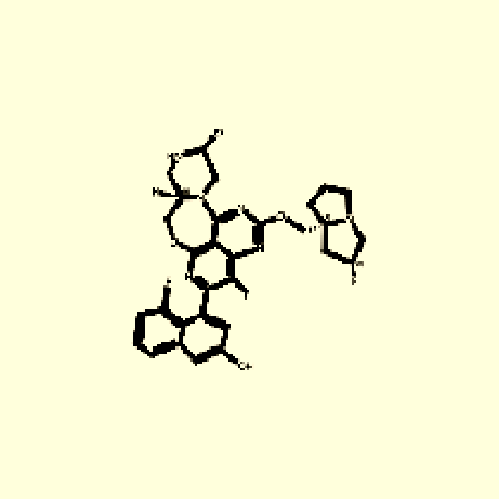 CCC1CN2c3nc(OC[C@]45CCCN4C[C@@H](F)C5)nc4c(F)c(-c5cc(O)cc6cccc(F)c56)nc(c34)OC[C@@H]2CN1